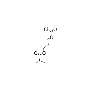 C=C(C)C(=O)OCCCOC(=O)Cl